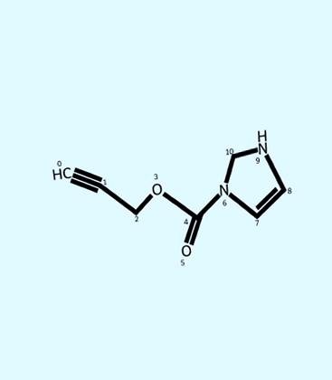 C#CCOC(=O)N1C=CNC1